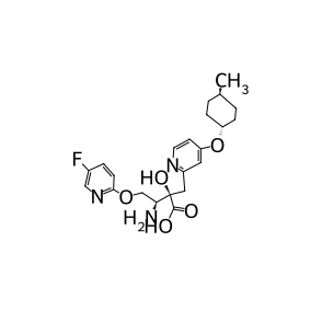 C[C@H]1CC[C@H](Oc2ccnc(C[C@](O)(C(=O)O)[C@@H](N)COc3ccc(F)cn3)c2)CC1